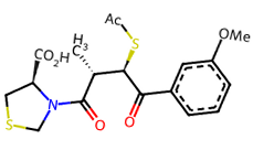 COc1cccc(C(=O)[C@H](SC(C)=O)[C@@H](C)C(=O)N2CSC[C@H]2C(=O)O)c1